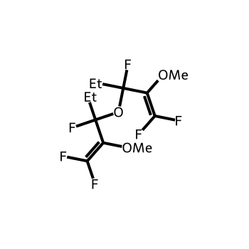 CCC(F)(OC(F)(CC)C(OC)=C(F)F)C(OC)=C(F)F